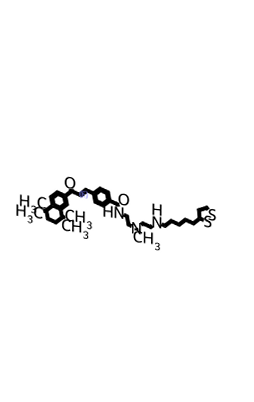 CN(CCNCCCCCC1CCSS1)CCNC(=O)c1ccc(/C=C/C(=O)c2ccc3c(c2)C(C)(C)CCC3(C)C)cc1